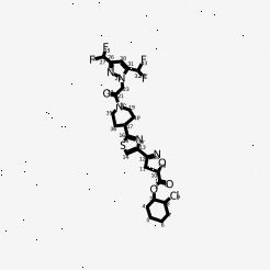 O=C(OC1CCCCC1Cl)C1CC(c2csc(C3CCN(C(=O)Cn4nc(C(F)F)cc4C(F)F)CC3)n2)=NO1